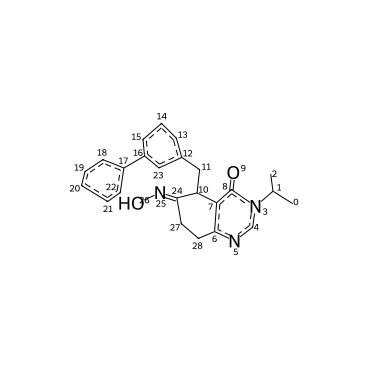 CC(C)n1cnc2c(c1=O)C(Cc1cccc(-c3ccccc3)c1)C(=NO)CC2